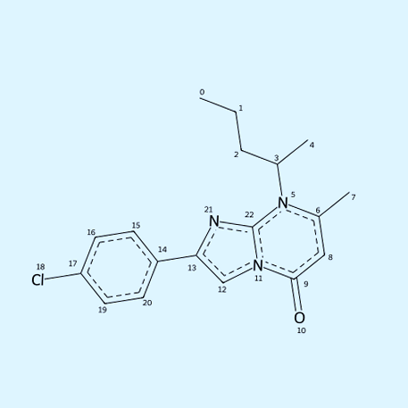 CCCC(C)n1c(C)cc(=O)n2cc(-c3ccc(Cl)cc3)nc12